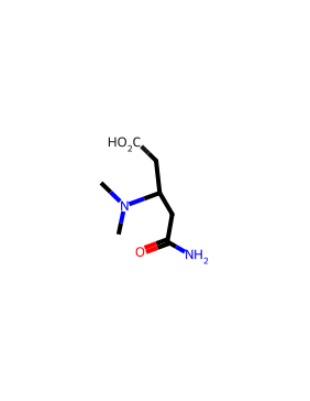 CN(C)C(CC(N)=O)CC(=O)O